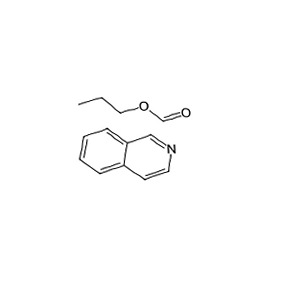 CCCOC=O.c1ccc2cnccc2c1